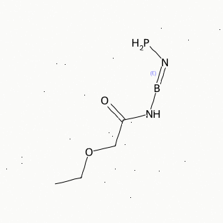 CCOCC(=O)N/B=N/P